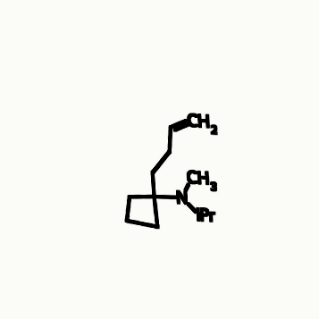 C=CCCC1(N(C)C(C)C)CCC1